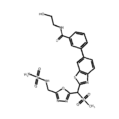 CS(=O)(=O)C(c1nnc(CNS(N)(=O)=O)o1)c1nc2ccc(-c3cccc(C(=O)NCCO)c3)cc2s1